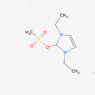 CCN1C=CN(CC)C1OS(C)(=O)=O